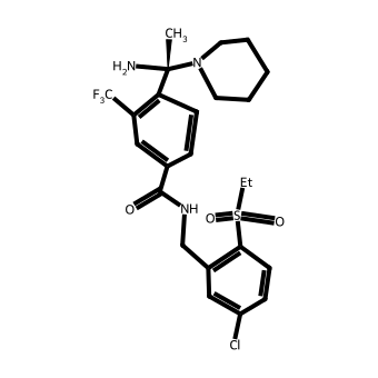 CCS(=O)(=O)c1ccc(Cl)cc1CNC(=O)c1ccc([C@](C)(N)N2CCCCC2)c(C(F)(F)F)c1